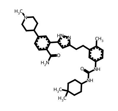 Cc1ccc(NC(=O)NC2CCC(C)(C)CC2)cc1CCc1cc(-c2cc(C3CCN(C)CC3)ccc2C(N)=O)[nH]n1